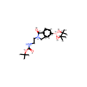 CC(C)(C)OC(=O)NCCN1Cc2cc(B3OC(C)(C)C(C)(C)O3)ccc2C1=O